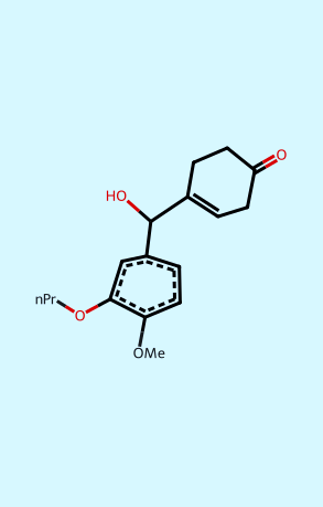 CCCOc1cc(C(O)C2=CCC(=O)CC2)ccc1OC